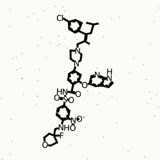 C/C(CN1CCN(c2ccc(C(=O)NS(=O)(=O)c3ccc(NCC4(F)CCOCC4)c([N+](=O)[O-])c3)c(Oc3cnc4[nH]ccc4c3)c2)CC1)=C(\CC(C)C)c1ccc(Cl)cc1